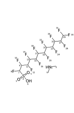 CNC.O=S(=O)(O)C(F)C(F)C(F)C(F)C(F)C(F)C(F)C(F)C(F)C(F)C(F)C(F)F